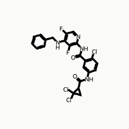 O=C(Nc1ncc(F)c(NCc2ccccc2)c1F)c1cc(NC(=O)C2CC2(Cl)Cl)ccc1Cl